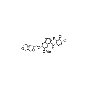 COc1cc2c(Nc3ccc(Cl)c(Cl)c3F)ncnc2cc1OCC1CN2CCOCC2CO1